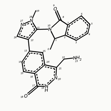 CC1c2ccccc2C(=O)N1c1c(-c2ccc3c(=O)[nH]nc(CN)c3c2)cnn1C